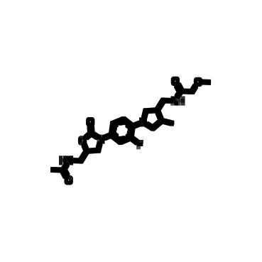 COCC(=O)NCC1CN(c2ccc(N3CC(CNC(C)=O)OC3=O)cc2F)CC1C